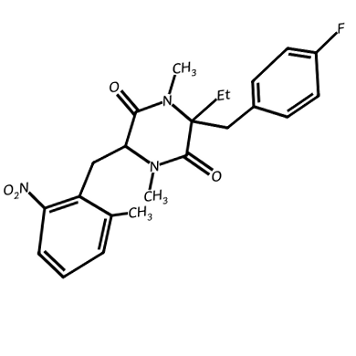 CCC1(Cc2ccc(F)cc2)C(=O)N(C)C(Cc2c(C)cccc2[N+](=O)[O-])C(=O)N1C